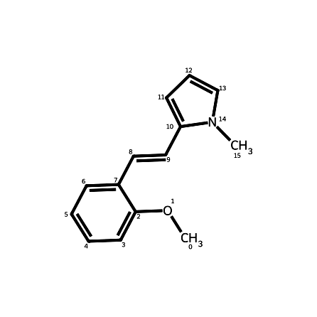 COc1ccccc1C=Cc1cccn1C